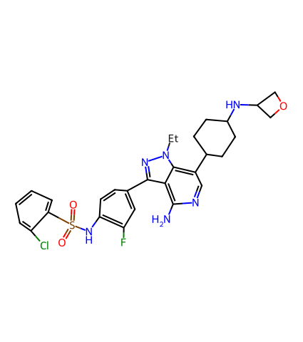 CCn1nc(-c2ccc(NS(=O)(=O)c3ccccc3Cl)c(F)c2)c2c(N)ncc(C3CCC(NC4COC4)CC3)c21